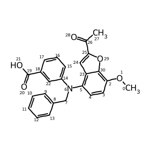 COc1ccc(N(Cc2ccccc2)c2cccc(C(=O)O)c2)c2cc(C(C)=O)oc12